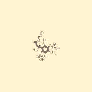 Cc1cc(OP(=O)(O)O)c(C(C)(C)CC(=O)OCOC(C)C)c(C)c1OP(=O)(O)O